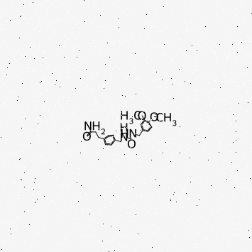 COc1ccc(CNC(=O)NCc2ccc(CCC(N)=O)cc2)cc1OC